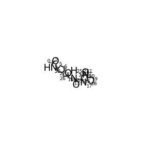 CC(=O)Nc1ccc2oc(CNC(=O)c3nc4ccccc4[n+]([O-])c3C)cc2c1